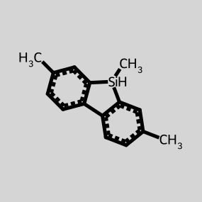 Cc1ccc2c(c1)[SiH](C)c1cc(C)ccc1-2